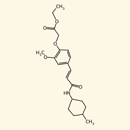 CCOC(=O)COc1ccc(/C=C/C(=O)NC2CCC(C)CC2)cc1OC